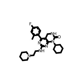 Cc1cc(F)ccc1-c1nc(NCCN2CCCCC2)nc2c1CNC(=O)N2C1CCCCC1